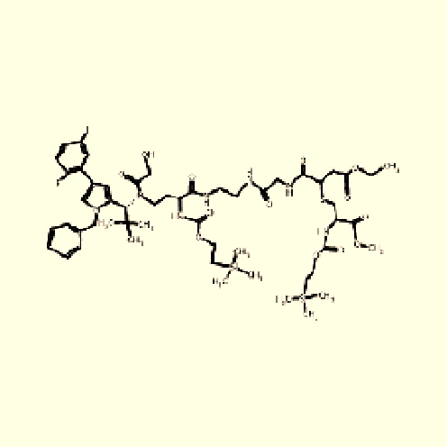 CCOC(=O)CC(SC[C@H](NC(=O)OCC[Si](C)(C)C)C(=O)OC)C(=O)NCC(=O)NCCNC(=O)[C@H](CCN(C(=O)CO)[C@@H](c1cc(-c2cc(F)ccc2F)cn1Cc1ccccc1)C(C)(C)C)NC(=O)OCC[Si](C)(C)C